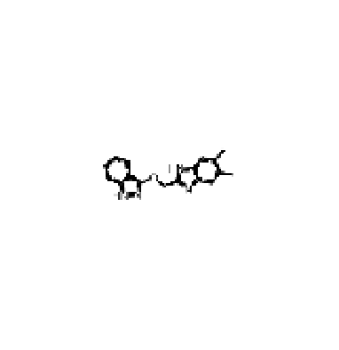 Cc1cc2nc(COc3n[nH]c4ccccc34)[nH]c2cc1C